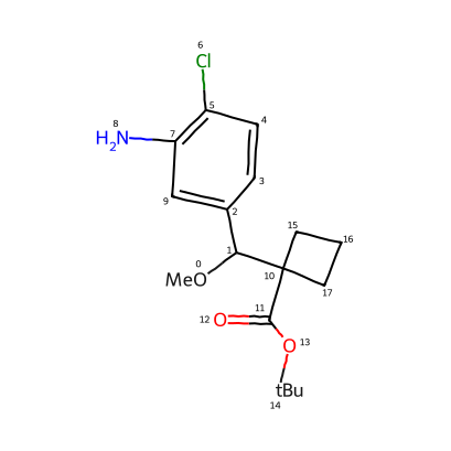 COC(c1ccc(Cl)c(N)c1)C1(C(=O)OC(C)(C)C)CCC1